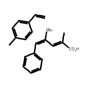 C=Cc1ccc(C)cc1.CC(=CC(=Cc1ccccc1)C(C)(C)C)C(=O)O